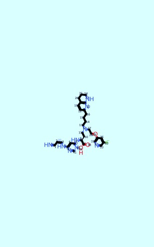 N=C/C=C\Nc1cc(N[C@@H](CCN(CCCCc2ccc3c(n2)NCCC3)CCOc2cncc(F)c2)C(=O)O)ncn1